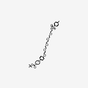 Cc1ccc(S(=O)(=O)OCCOCCOCCOCCOCCOc2ccc(N3CCN(C(=O)OC(C)(C)C)CC3)cc2)cc1